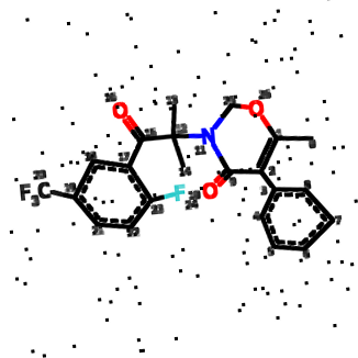 CC1=C(c2ccccc2)C(=O)N(C(C)(C)C(=O)c2cc(C(F)(F)F)ccc2F)CO1